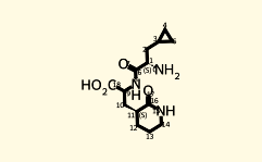 N[C@@H](CC1CC1)C(=O)NC(C[C@@H]1CCCNC1=O)C(=O)O